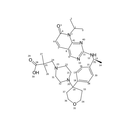 CC(C)n1c(=O)ccc2cnc(N[C@@H](C)c3ccc(C4(N5CCN(CC(C)(C)C(=O)O)CC5)CCOCC4)cc3)nc21